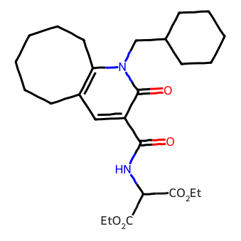 CCOC(=O)C(NC(=O)c1cc2c(n(CC3CCCCC3)c1=O)CCCCCC2)C(=O)OCC